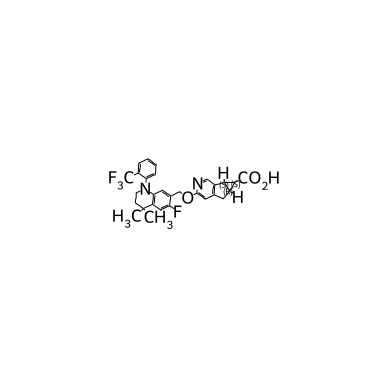 CC1(C)CCN(c2ccccc2C(F)(F)F)c2cc(COc3cc4c(cn3)[C@H]3[C@@H](C4)[C@@H]3C(=O)O)c(F)cc21